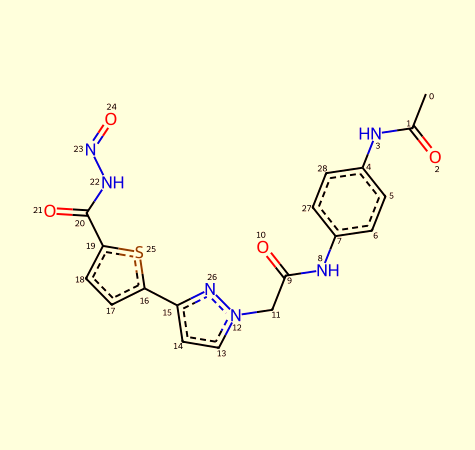 CC(=O)Nc1ccc(NC(=O)Cn2ccc(-c3ccc(C(=O)NN=O)s3)n2)cc1